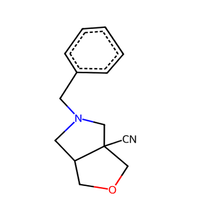 N#CC12COCC1CN(Cc1ccccc1)C2